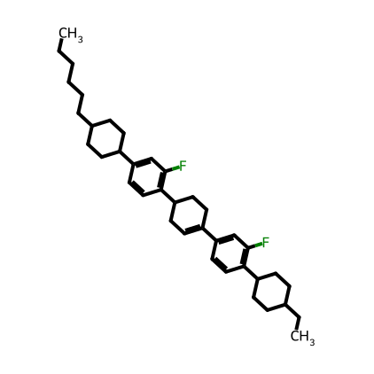 CCCCCCC1CCC(c2ccc(C3CC=C(c4ccc(C5CCC(CC)CC5)c(F)c4)CC3)c(F)c2)CC1